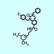 CC1CC(C)CN(CCCNC(=O)c2ccc3c(c2)N(Cc2ccc(F)cc2)C(=O)/C(=C/c2ccccc2)S3)C1